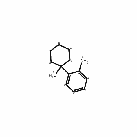 CC1(c2ccccc2N)CCCCC1